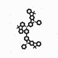 CC1(C)c2ccccc2-c2cc3c4cc(-c5ccc(N(c6ccc7c(c6)c6cc8c(cc6n7-c6ccccc6)C(C)(C)c6ccccc6-8)c6cccc7c6-c6ccccc6C7(C)C)cc5)ccc4n(-c4ccccc4)c3cc21